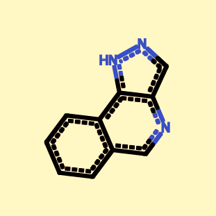 c1ccc2c(c1)cnc1cn[nH]c12